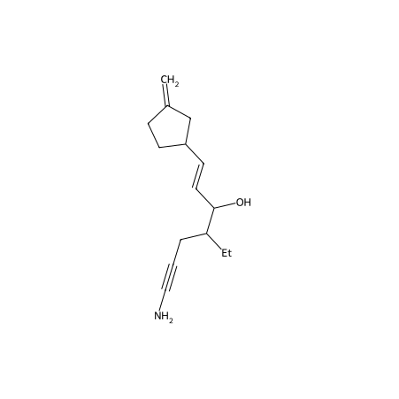 C=C1CCC(/C=C/C(O)C(CC)CC#CN)C1